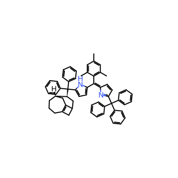 Cc1cc(C)c(/C(=C2\C=CC(C(c3ccccc3)(c3ccccc3)c3ccccc3)=N2)c2ccc(C(c3ccccc3)(c3ccccc3)[C@H]3CC4CC5=C4C[C@@H]3CCC5)[nH]2)c(C)c1